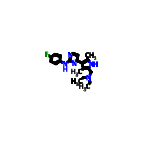 CCN(CC)Cc1[nH]c(C)c(-c2ccnc(Nc3ccc(F)cc3)n2)c1C